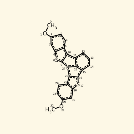 COc1ccc2c(c1)sc1c2c2cccc3c4sc5cc(OC)ccc5c4n1c32